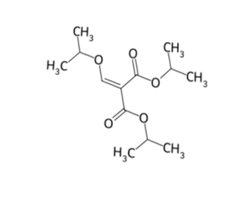 CC(C)OC=C(C(=O)OC(C)C)C(=O)OC(C)C